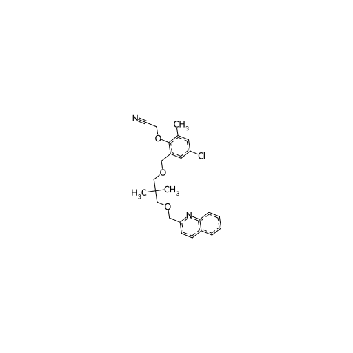 Cc1cc(Cl)cc(COCC(C)(C)COCc2ccc3ccccc3n2)c1OCC#N